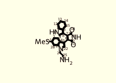 CSc1ccc2c(C3=C(c4c[nH]c5ccccc45)C(=O)NC3=O)cn(CCN)c2c1